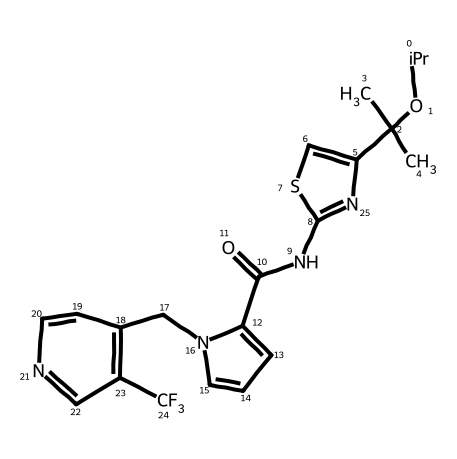 CC(C)OC(C)(C)c1csc(NC(=O)c2cccn2Cc2ccncc2C(F)(F)F)n1